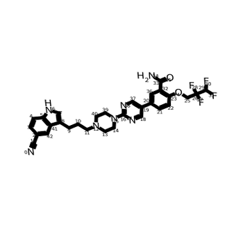 N#Cc1ccc2[nH]cc(CCCN3CCN(c4ncc(-c5ccc(OCC(F)(F)C(F)F)c(C(N)=O)c5)cn4)CC3)c2c1